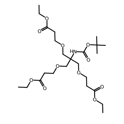 CCOC(=O)CCOCC(COCCC(=O)OCC)(COCCC(=O)OCC)NC(=O)OC(C)(C)C